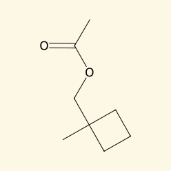 CC(=O)OCC1(C)CCC1